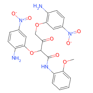 COc1ccccc1NC(=O)C(Oc1cc([N+](=O)[O-])ccc1N)C(=O)COc1cc([N+](=O)[O-])ccc1N